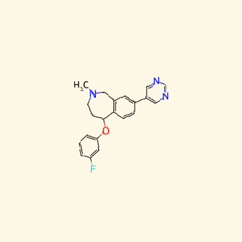 CN1CCC(Oc2cccc(F)c2)c2ccc(-c3cncnc3)cc2C1